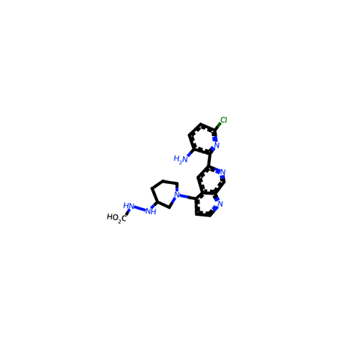 Nc1ccc(Cl)nc1-c1cc2c(N3CCCC(NNC(=O)O)C3)ccnc2cn1